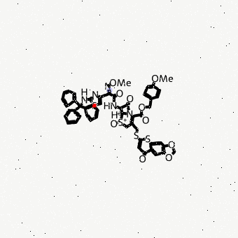 CO/N=C(\C(=O)NC1C(=O)N2C(C(=O)OCc3ccc(OC)cc3)=C(CSc3cc(=O)c4cc5c(cc4s3)OCO5)C[S+]([O-])[C@@H]12)c1csc(NC(c2ccccc2)(c2ccccc2)c2ccccc2)n1